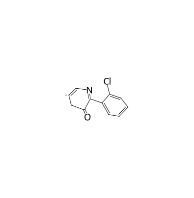 O=C1C[C]=CN=C1c1ccccc1Cl